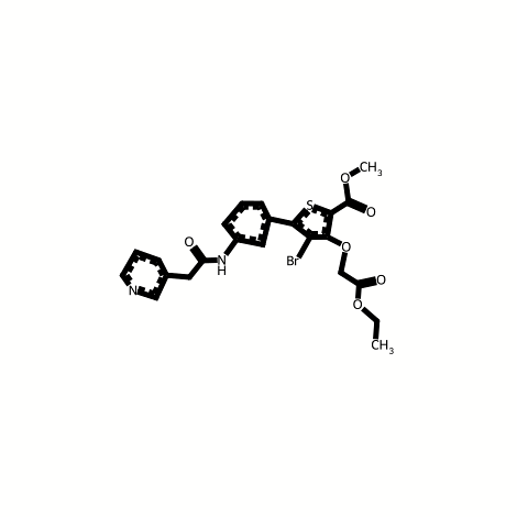 CCOC(=O)COc1c(C(=O)OC)sc(-c2cccc(NC(=O)Cc3cccnc3)c2)c1Br